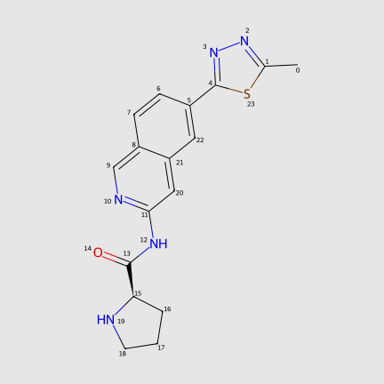 Cc1nnc(-c2ccc3cnc(NC(=O)[C@H]4CCCN4)cc3c2)s1